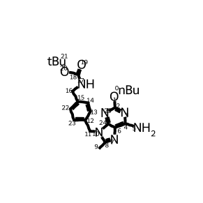 CCCCOc1nc(N)c2nc(C)n(Cc3ccc(CNC(=O)OC(C)(C)C)cc3)c2n1